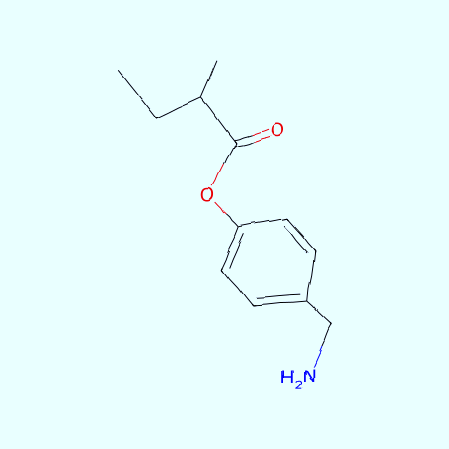 CCC(C)C(=O)Oc1ccc(CN)cc1